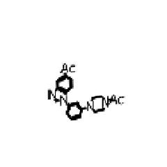 CC(=O)c1ccc2c(c1)ncn2-c1cccc(N2CCN(C(C)=O)CC2)c1